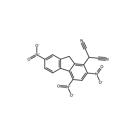 N#CC(C#N)c1c([N+](=O)[O-])cc([N+](=O)[O-])c2c1Cc1cc([N+](=O)[O-])ccc1-2